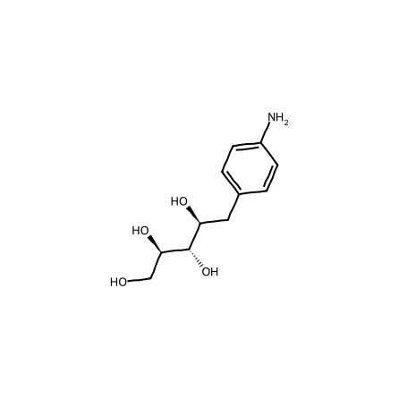 Nc1ccc(C[C@H](O)[C@H](O)[C@H](O)CO)cc1